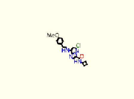 COc1ccc(CCNc2cc(Cl)nn3c(C(=O)NC4CCC4)cnc23)cc1